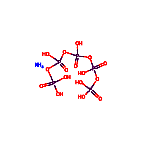 N.O=P(O)(O)OP(=O)(O)OP(=O)(O)OP(=O)(O)OP(=O)(O)O